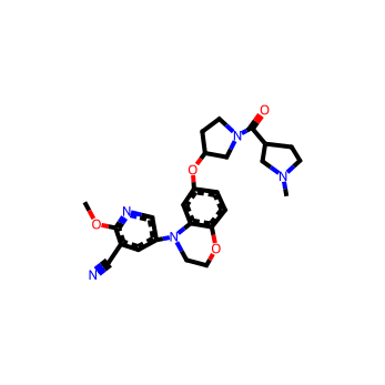 COc1ncc(N2CCOc3ccc(OC4CCN(C(=O)C5CCN(C)C5)C4)cc32)cc1C#N